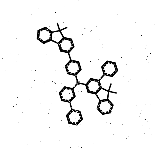 CC1(C)c2ccccc2-c2cc(-c3ccc(N(c4cccc(-c5ccccc5)c4)c4cc(-c5ccccc5)c5c(c4)-c4ccccc4C5(C)C)cc3)ccc21